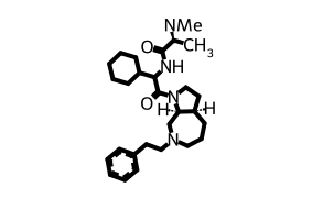 CN[C@@H](C)C(=O)NC(C(=O)N1CC[C@H]2CCCN(CCc3ccccc3)C[C@H]21)C1CCCCC1